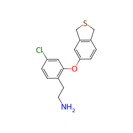 NCCc1ccc(Cl)cc1Oc1ccc2c(c1)CSC2